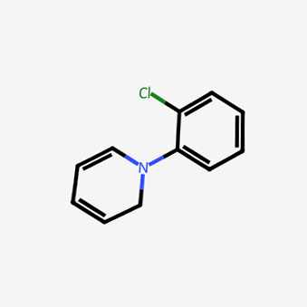 Clc1ccccc1N1C=CC=CC1